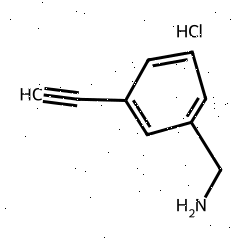 C#Cc1cccc(CN)c1.Cl